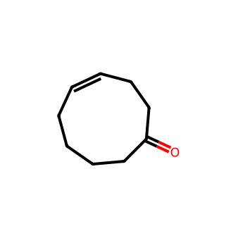 O=C1CCC=CCCCC1